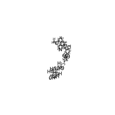 O=C(CCC1CN(S(=O)(=O)c2ccc(Cl)c(COC3(c4cnccc4-c4ccccc4OC4CC4)CC3)c2)C1)NC[C@H](O)[C@@H](O)[C@H](O)[C@H](O)CO